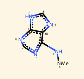 CNNc1ncnc2[nH]cnc12